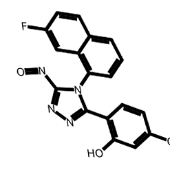 O=Nc1nnc(-c2ccc(O)cc2O)n1-c1cccc2ccc(F)cc12